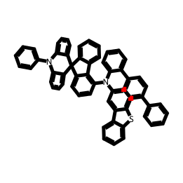 c1ccc(-c2ccc(-c3ccccc3N(c3ccc4sc5ccccc5c4c3)c3cccc4c3-c3ccccc3C43c4ccccc4N(c4ccccc4)c4ccccc43)cc2)cc1